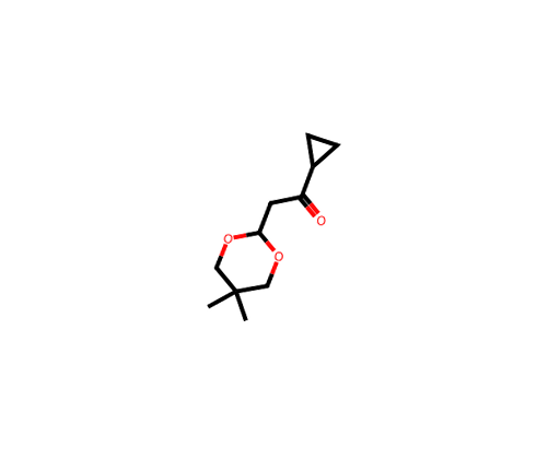 CC1(C)COC(CC(=O)C2CC2)OC1